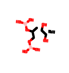 CC(COB(O)O)OB(O)O.OCCO.[NaH]